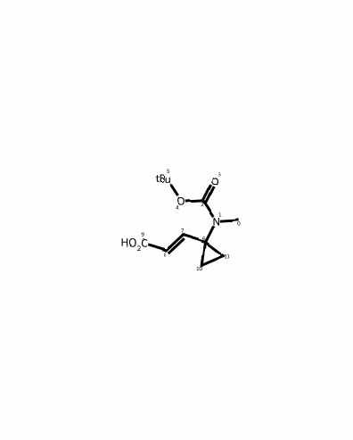 CN(C(=O)OC(C)(C)C)C1(C=CC(=O)O)CC1